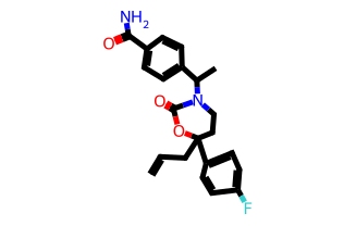 C=CCC1(c2ccc(F)cc2)CCN(C(C)c2ccc(C(N)=O)cc2)C(=O)O1